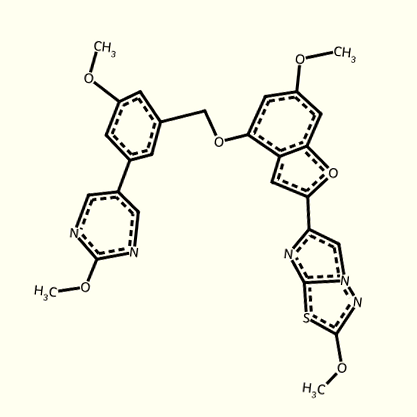 COc1cc(COc2cc(OC)cc3oc(-c4cn5nc(OC)sc5n4)cc23)cc(-c2cnc(OC)nc2)c1